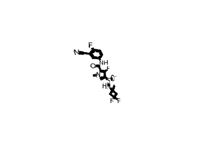 Cn1cc([S+]([O-])NC2(C)CC(F)(F)C2)c(F)c1C(=O)Nc1ccc(F)c(C#N)c1